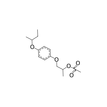 CCC(C)Oc1ccc(OCC(C)OS(C)(=O)=O)cc1